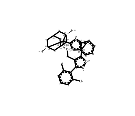 Cc1cccc(Cl)c1-c1noc(C2CC2)c1CO[C@@]12CC3C[C@H](C1)[C@@](O)(c1nc4ccccc4s1)[C@@H](C3)C2